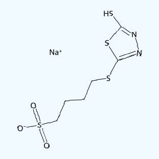 O=S(=O)([O-])CCCCSc1nnc(S)s1.[Na+]